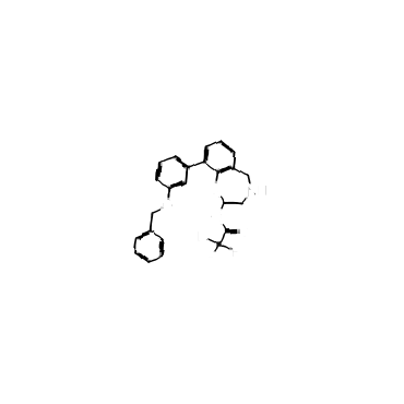 O=C(OC1CNCc2cccc(-c3cccc(OCc4ccccc4)c3)c2O1)C(F)(F)F